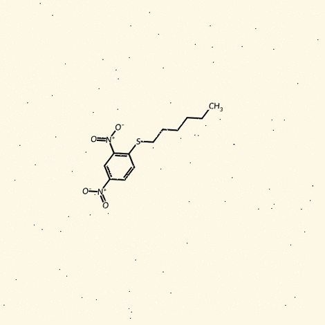 CCCCCCSc1ccc([N+](=O)[O-])cc1[N+](=O)[O-]